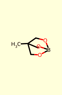 CC12COB(OC1)OC2